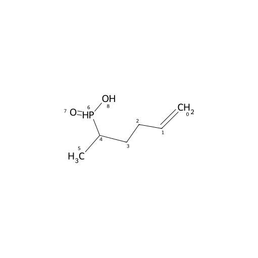 C=CCCC(C)[PH](=O)O